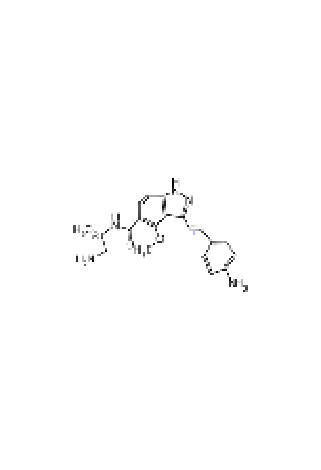 COc1c(C(=O)N[C@@H](C)CN)ccc2[nH]nc(/C=C/c3ccc(N)cc3)c12